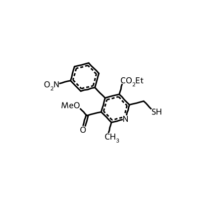 CCOC(=O)c1c(CS)nc(C)c(C(=O)OC)c1-c1cccc([N+](=O)[O-])c1